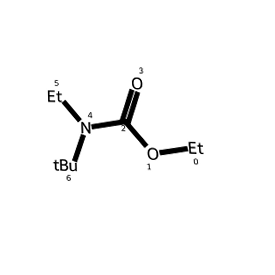 CCOC(=O)N(CC)C(C)(C)C